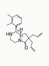 C=CCC1(CC=C)C[C@H]2[C@H](c3cccc(C)c3C)NCCN2C1=O